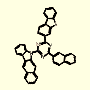 c1ccc2cc(-c3nc(-c4ccc5c(c4)sc4ccccc45)nc(-n4c5ccccc5c5cc6ccccc6cc54)n3)ccc2c1